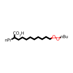 CCCCOOCCCCCCCCCC(CCC)C(=O)O